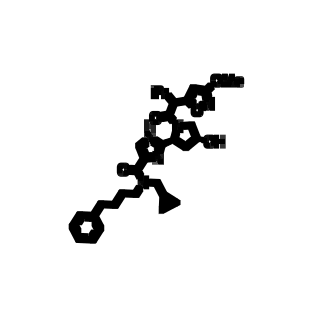 COc1cc(C(C(=O)N2C[C@H](O)C[C@H]2c2nc(C(=O)N(CCCCc3ccccc3)CC3CC3)c[nH]2)C(C)C)on1